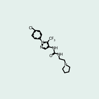 O=C(NCCN1CCCC1)Nc1cnn(-c2ccc(Cl)cc2)c1C(F)(F)F